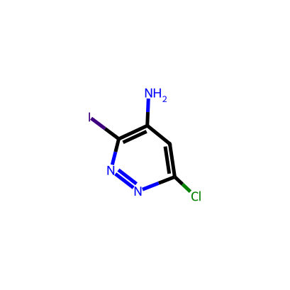 Nc1cc(Cl)nnc1I